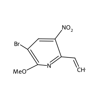 [CH]=Cc1nc(OC)c(Br)cc1[N+](=O)[O-]